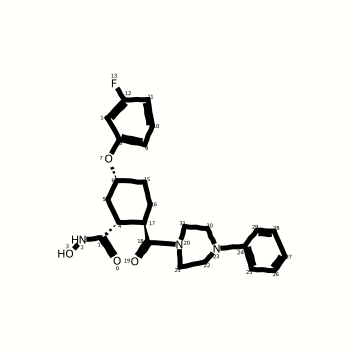 O=C(NO)[C@@H]1C[C@H](Oc2cccc(F)c2)CC[C@H]1C(=O)N1CCN(c2ccccc2)CC1